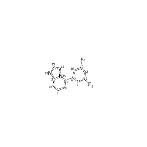 Fc1cc(F)cc(-c2cccc3nccn23)c1